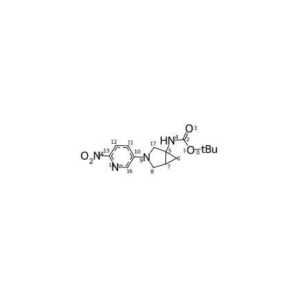 CC(C)(C)OC(=O)NC12CC1CN(c1ccc([N+](=O)[O-])nc1)C2